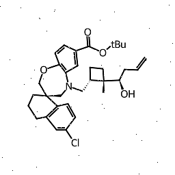 C=CC[C@@H](O)[C@@]1(C)CC[C@H]1CN1C[C@@]2(CCCc3cc(Cl)ccc32)COc2ccc(C(=O)OC(C)(C)C)cc21